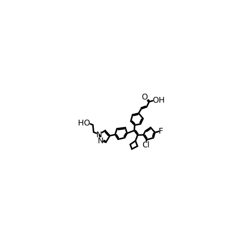 O=C(O)C=Cc1ccc(C(=C(c2ccc(F)cc2Cl)C2CCC2)c2ccc(-c3cnn(CCO)c3)cc2)cc1